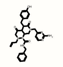 C=CCN1CC(=O)C2C(Cc3ccc(O)cc3)C(=O)N(Cc3ccnc(N)n3)CC2N1C(=O)NCc1ccccc1